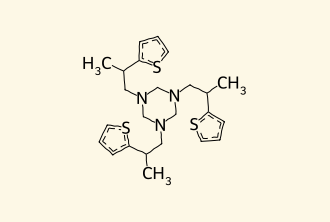 CC(CN1CN(CC(C)c2cccs2)CN(CC(C)c2cccs2)C1)c1cccs1